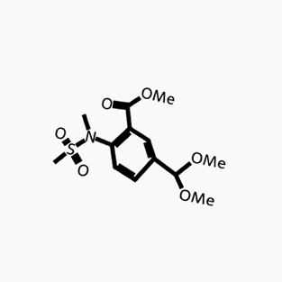 COC(=O)c1cc(C(OC)OC)ccc1N(C)S(C)(=O)=O